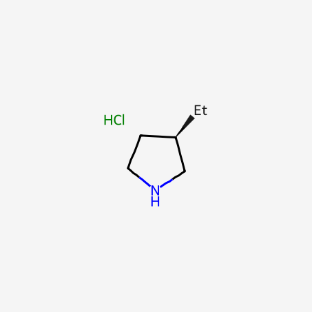 CC[C@@H]1CCNC1.Cl